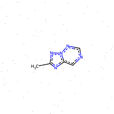 Cc1nc2cncnn2n1